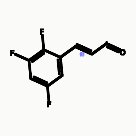 O=[C]/C=C/c1cc(F)cc(F)c1F